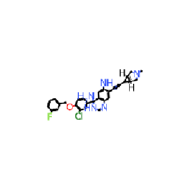 CN1C[C@@H]2C(C#Cc3cc4c(cc3N)C(N)(c3ccc(OCc5cccc(F)c5)c(Cl)c3)NC=N4)[C@@H]2C1